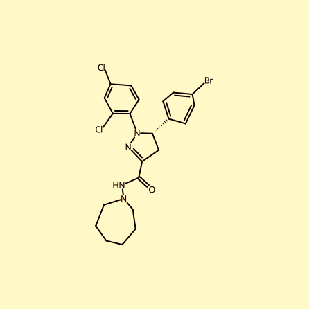 O=C(NN1CCCCCC1)C1=NN(c2ccc(Cl)cc2Cl)[C@H](c2ccc(Br)cc2)C1